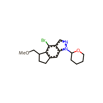 COCC1CCc2cc3c(cnn3C3CCCCO3)c(Br)c21